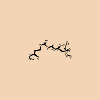 CCCCOC(=O)CCSC(=O)OCOC(=O)CP(=O)(OCC)OCC